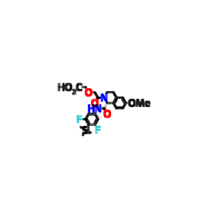 COc1ccc2c(c1)CCN(C(=O)COCC(=O)O)[C@H]2C(=O)Nc1cc(F)c([Si](C)(C)C)c(F)c1